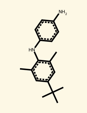 Cc1cc(C(C)(C)C)cc(C)c1Nc1ccc(N)cc1